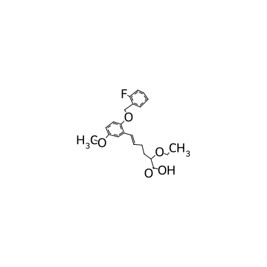 CCOC(CC/C=C/c1cc(OC)ccc1OCc1ccccc1F)C(=O)O